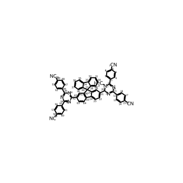 CN1C(c2ccc(C#N)cc2)=NC(c2ccc(C#N)cc2)=NC1c1ccc2c(c1)C1(c3ccccc3-c3ccccc31)c1cc(-c3nc(-c4ccc(C#N)cc4)nc(-c4ccc(C#N)cc4)n3)ccc1-2